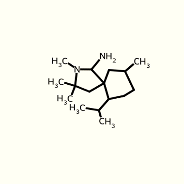 CC1CCC(C(C)C)C2(C1)CC(C)(C)N(C)C2N